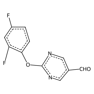 O=Cc1cnc(Oc2ccc(F)cc2F)nc1